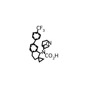 O=C(O)N(C1CN2CCC1CC2)[C@@H]1c2cc(-c3ccc(C(F)(F)F)cc3)ccc2CCC12CC2